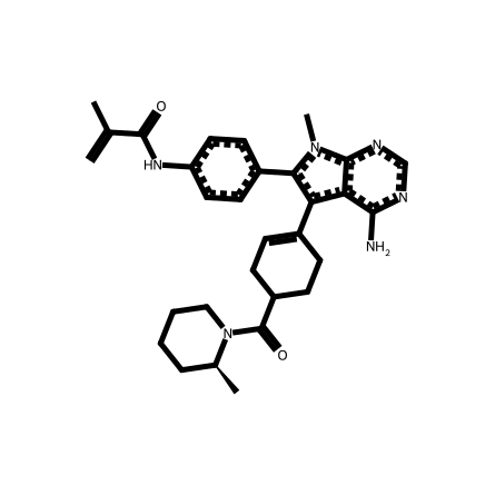 C=C(C)C(=O)Nc1ccc(-c2c(C3=CCC(C(=O)N4CCCC[C@@H]4C)CC3)c3c(N)ncnc3n2C)cc1